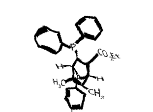 CCOC(=O)C1[C@H](P(c2ccccc2)c2ccccc2)[C@H]2C(C)=C(C)[C@@H]1[P@@]2c1ccccc1